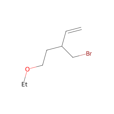 C=CC(CBr)CCOCC